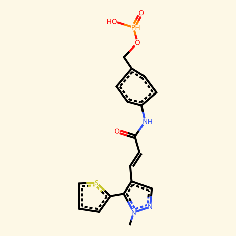 Cn1ncc(C=CC(=O)Nc2ccc(CO[PH](=O)O)cc2)c1-c1cccs1